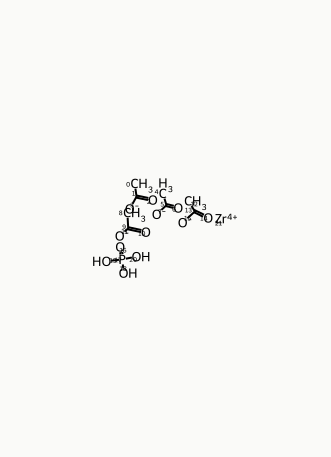 CC(=O)[O-].CC(=O)[O-].CC(=O)[O-].CC(=O)[O-].O=P(O)(O)O.[Zr+4]